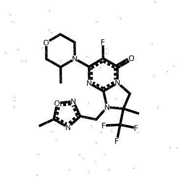 Cc1nc(CN2c3nc(N4CCOCC4C)c(F)c(=O)n3CC2(C)C(F)(F)F)no1